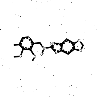 COc1c(C)cnc(C[S+]([O-])c2nc3cc4c(cc3[nH]2)OCO4)c1OC